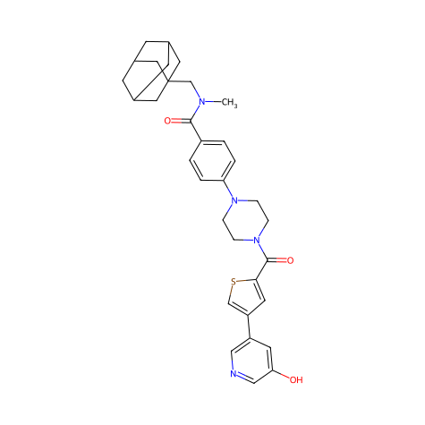 CN(CC12CC3CC(CC(C3)C1)C2)C(=O)c1ccc(N2CCN(C(=O)c3cc(-c4cncc(O)c4)cs3)CC2)cc1